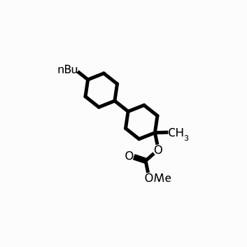 CCCCC1CCC(C2CCC(C)(OC(=O)OC)CC2)CC1